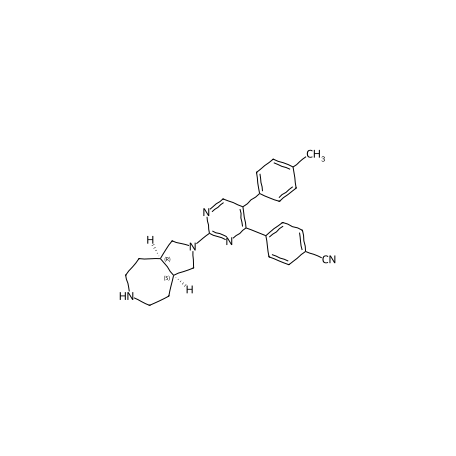 Cc1ccc(-c2cnc(N3C[C@H]4CCNCC[C@H]4C3)nc2-c2ccc(C#N)cc2)cc1